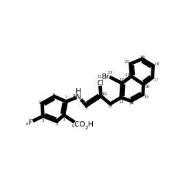 O=C(O)c1cc(F)ccc1NC=C(Cl)Cc1ccc2ccccc2c1Br